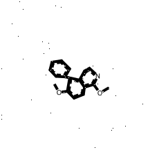 COc1ccc2c(OC)nccc2c1-c1ccccc1